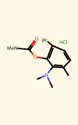 CNC(=O)Oc1c(C(C)C)ccc(C)c1N(C)C.Cl